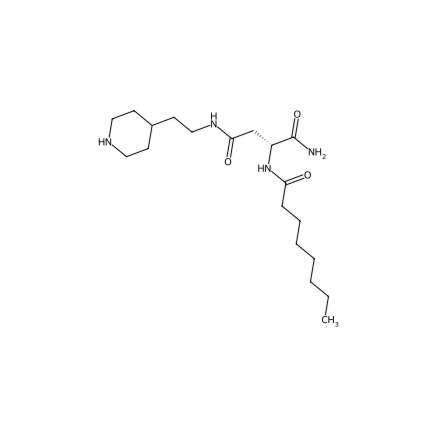 CCCCCCCC(=O)N[C@H](CC(=O)NCCC1CCNCC1)C(N)=O